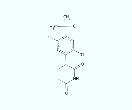 CC(C)(C)c1cc(Cl)c(C2CCC(=O)NC2=O)cc1F